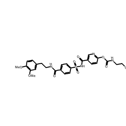 COc1ccc(CCNC(=O)c2ccc(S(=O)(=O)NC(=O)c3ccc(OC(=O)NCCO)nc3)cc2)cc1OC